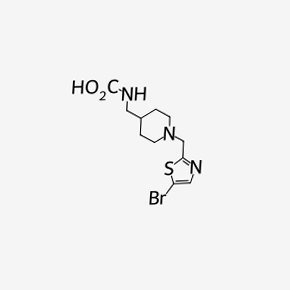 O=C(O)NCC1CCN(Cc2ncc(Br)s2)CC1